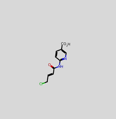 O=C(C=CCCl)Nc1ccc(C(=O)O)cn1